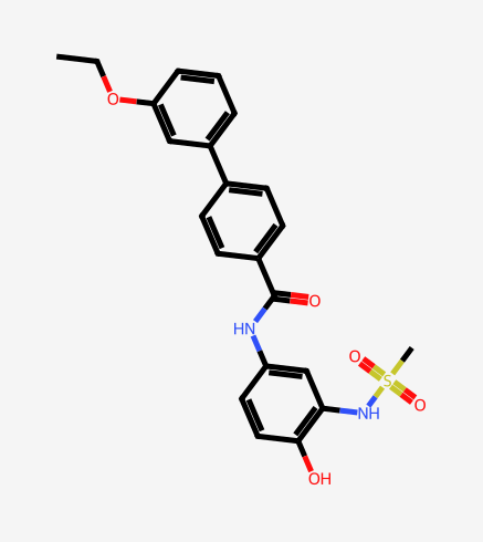 CCOc1cccc(-c2ccc(C(=O)Nc3ccc(O)c(NS(C)(=O)=O)c3)cc2)c1